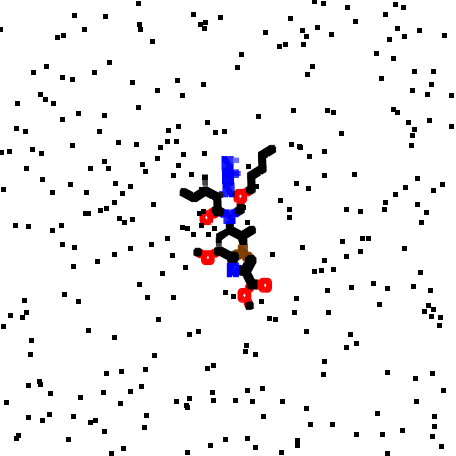 CCCCCOCN(C(=O)[C@@H](N=[N+]=[N-])[C@@H](C)CC)[C@H](C[C@@H](OC)c1nc(C(=O)OC)cs1)C(C)C